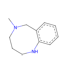 CN1CC[CH]Nc2ccccc2C1